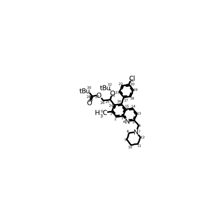 Cc1cc2nc(CN3CCCCC3)ccc2c(-c2ccc(Cl)cc2)c1C(COC(=O)C(C)(C)C)OC(C)(C)C